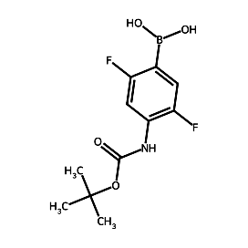 CC(C)(C)OC(=O)Nc1cc(F)c(B(O)O)cc1F